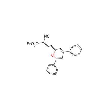 [C-]#[N+]/C(=C\C=C1\C=C(c2ccccc2)C=C(c2ccccc2)O1)C(=O)OCC